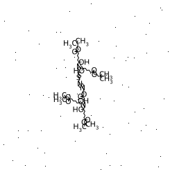 CC(C)CCOC(=O)CCCCC(O)CN(CCCSSCCN1CCN(CCOC(=O)CCCN(CC(O)CCCCC(=O)OC(C)C)CC(O)CCCCC(=O)OC(C)C)CC1)CC(O)CCCCC(=O)OCCC(C)C